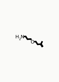 C=C(C)CCOCCCN